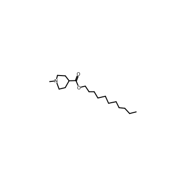 CCCCCCCCCCCOC(=O)C1CCN(C)CC1